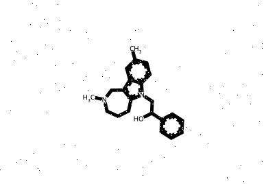 Cc1ccc2c(c1)c1c(n2CC(O)c2ccccc2)CCCN(C)C1